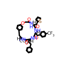 O=C1COc2ccc(cc2)C[C@@H](C(=O)O)NC(=O)[C@@H](CCc2ccccc2)NC(=O)[C@H](Cc2ccc(C(F)(F)F)cc2)NC(=O)[C@@H](Cc2cccs2)N1